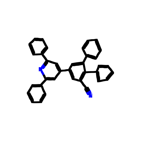 N#Cc1cc(-c2cc(-c3ccccc3)nc(-c3ccccc3)c2)cc(-c2ccccc2)c1-c1ccccc1